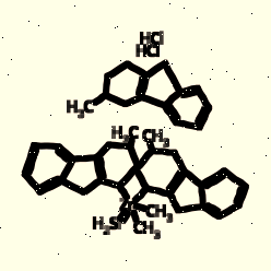 CC1CC2=C(Cc3ccccc32)[CH]([Zr]([CH3])([CH3])(=[SiH2])[CH]2CC(C)CC3=C2Cc2ccccc23)C1.CC1CCC2=C(C1)c1ccccc1C2.Cl.Cl